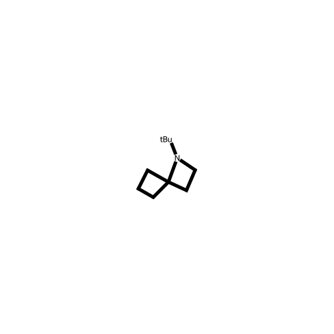 CC(C)(C)N1CCC12CCC2